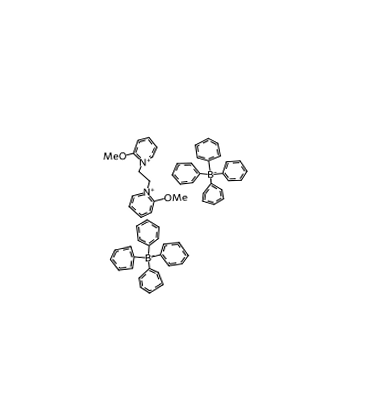 COc1cccc[n+]1CC[n+]1ccccc1OC.c1ccc([B-](c2ccccc2)(c2ccccc2)c2ccccc2)cc1.c1ccc([B-](c2ccccc2)(c2ccccc2)c2ccccc2)cc1